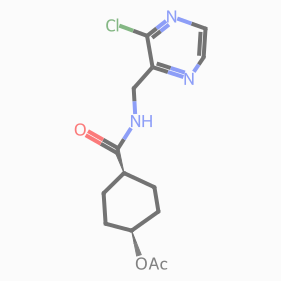 CC(=O)O[C@H]1CC[C@@H](C(=O)NCc2nccnc2Cl)CC1